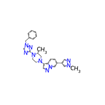 C[C@H]1CN(c2cnn3cc(-c4cnn(C)c4)ccc23)CCN1c1ncn(Cc2ccccc2)n1